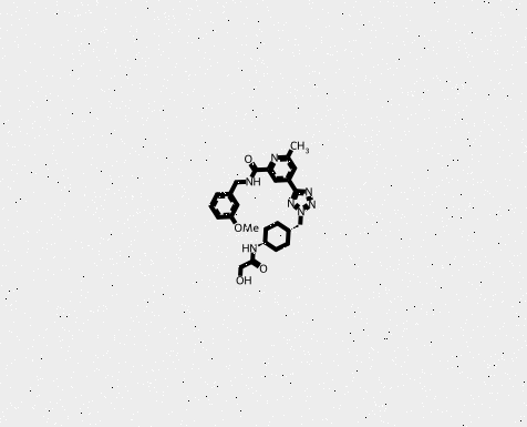 COc1cccc(CNC(=O)c2cc(-c3nnn(C[C@H]4CC[C@@H](NC(=O)CO)CC4)n3)cc(C)n2)c1